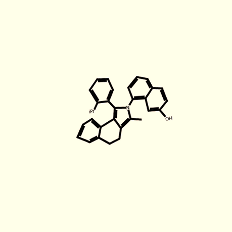 Cc1c2c(c(-c3ccccc3C(C)C)n1-c1cccc3ccc(O)cc13)-c1ccccc1CC2